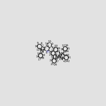 C1=CC(/C(=C\c2cc3ccccc3n2-c2ccccc2)c2cc3c4ccccc4n(-c4nc(-c5ccccc5)c5ccccc5n4)c3c3ccccc23)=CCC1